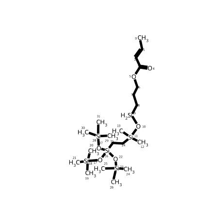 CC=CC(=O)OCCC[SiH2]O[Si](C)(C)CC[Si](O[Si](C)(C)C)(O[Si](C)(C)C)O[Si](C)(C)C